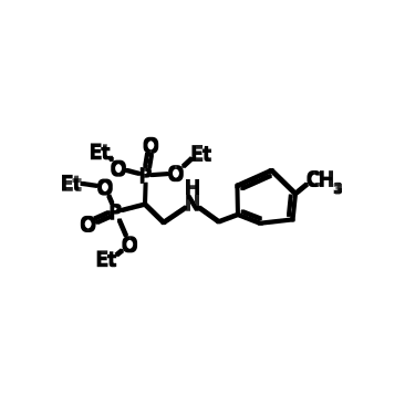 CCOP(=O)(OCC)C(CNCc1ccc(C)cc1)P(=O)(OCC)OCC